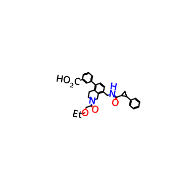 CCOCC(=O)N1CCc2c(-c3cccc(C(=O)O)c3)ccc(CNC(=O)C3CC3c3ccccc3)c2C1